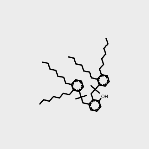 CCCCCCCc1cccc(C(C)(C)Cc2cccc(O)c2CC(C)(C)c2cccc(CCCCCCC)c2CCCCCCC)c1CCCCCCC